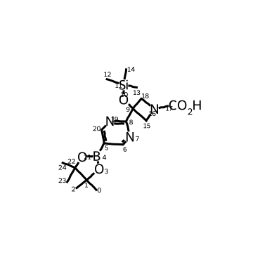 CC1(C)OB(c2cnc(C3(O[Si](C)(C)C)CN(C(=O)O)C3)nc2)OC1(C)C